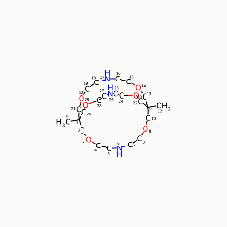 CC12COCCNCCOCC(C)(COCCNCCOC1)COCCNCCOC2